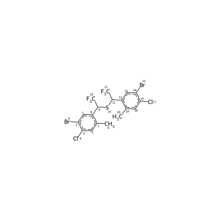 Cc1cc(Cl)c(Br)cc1C(SC(c1cc(Br)c(Cl)cc1C)C(F)(F)F)C(F)(F)F